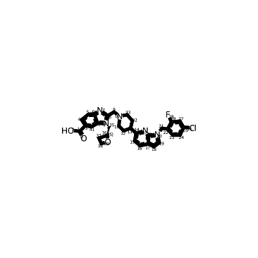 O=C(O)c1ccc2nc(CN3CCC(c4ccc5ccn(Cc6ccc(Cl)cc6F)c5n4)CC3)n(C[C@@H]3CCO3)c2c1